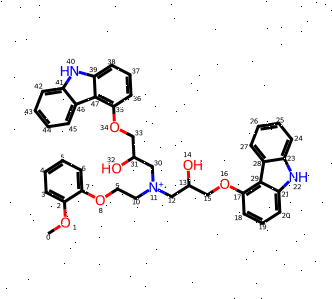 COc1ccccc1OCC[N+](CC(O)COc1cccc2[nH]c3ccccc3c12)CC(O)COc1cccc2[nH]c3ccccc3c12